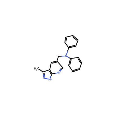 Cc1n[nH]c2ncc(CN(c3ccccc3)c3ccccc3)cc12